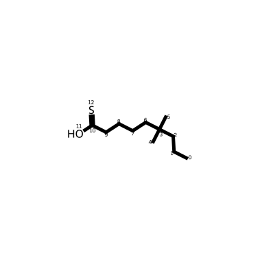 CCCC(C)(C)CCCCC(O)=S